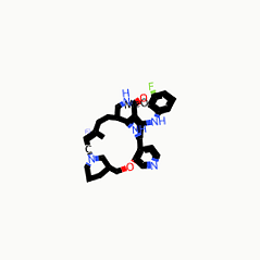 COc1c(F)cccc1Nc1c2[nH]c3c1C(=O)NCC3CC/C(C)=C/CN1CCCC(COc3cnccc3-2)C1